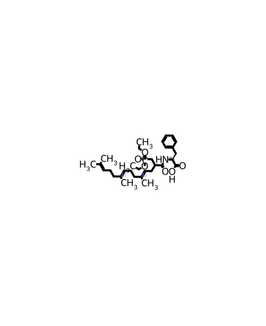 CCOP(=O)(CC(C/C=C(\C)CC/C=C(\C)CCC=C(C)C)C(=O)N[C@@H](Cc1ccccc1)C(=O)O)OCC